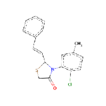 Cc1ccc(Cl)c(N2C(=O)CSC2C=Cc2ccccc2)c1